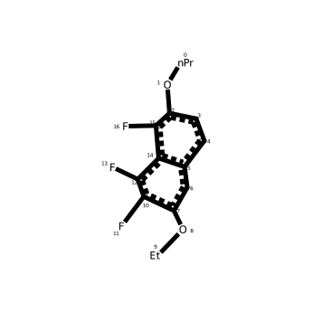 CCCOc1ccc2cc(OCC)c(F)c(F)c2c1F